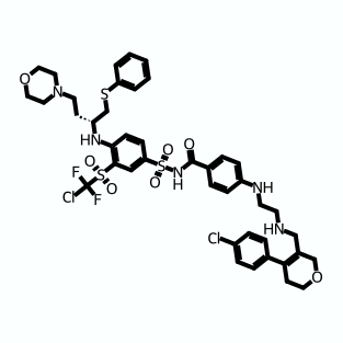 O=C(NS(=O)(=O)c1ccc(N[C@H](CCN2CCOCC2)CSc2ccccc2)c(S(=O)(=O)C(F)(F)Cl)c1)c1ccc(NCCNCC2=C(c3ccc(Cl)cc3)CCOC2)cc1